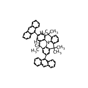 CC1(C)c2cccc3c2N2c4c1cc(-c1c5ccccc5cc5ccccc15)cc4C(C)(C)c1cc(-c4c5ccccc5cc5ccccc45)cc(c12)C3(C)C